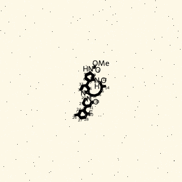 COC(=O)Nc1ccc2c(c1)NC(=O)C(C)CCCC(N1CCC(c3cc(C)ccc3F)=CC1=O)c1cc-2ccn1